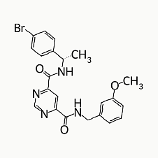 COc1cccc(CNC(=O)c2cc(C(=O)N[C@@H](C)c3ccc(Br)cc3)ncn2)c1